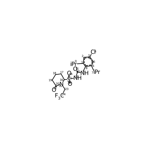 CC(C)c1cc(Cl)cc(C(C)C)c1NC(=O)NS(=O)(=O)C1CCCC(=O)N1CC(F)(F)F